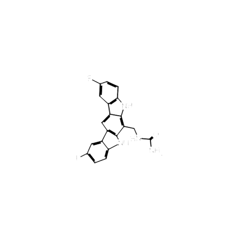 NC(=O)NCc1c2[nH]c3ccc(F)cc3c2cc2c1[nH]c1ccc(F)cc12